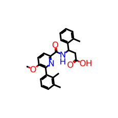 COc1ccc(C(=O)NC(CC(=O)O)c2ccccc2C)nc1-c1cccc(C)c1C